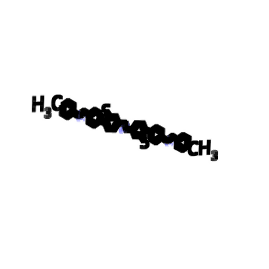 Cc1ccc(/C=C/c2ccc3c(c2)sc2cc(/C=C/c4ccc5c(c4)sc4cc(/C=C/c6ccc(C)cc6)ccc45)ccc23)cc1